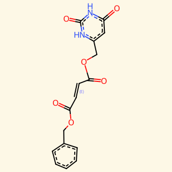 O=C(/C=C/C(=O)OCc1cc(=O)[nH]c(=O)[nH]1)OCc1ccccc1